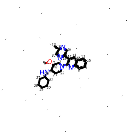 CO[C@@H]1CN(c2nc3ccccc3cc2-c2cnc(C)cn2)CC[C@@H]1NC1CCCCC1